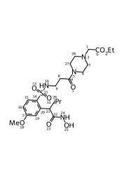 CCOC(=O)CN1CCN(C(=O)CCNS(=O)(=O)c2ccc(OC)cc2C(C(=O)NO)C(C)C)CC1